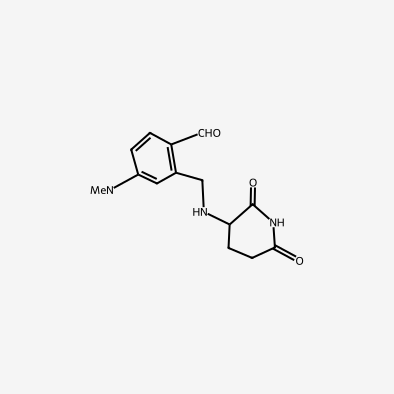 CNc1ccc(C=O)c(CNC2CCC(=O)NC2=O)c1